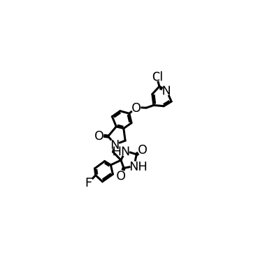 O=C1NC(=O)C(CN2Cc3cc(OCc4ccnc(Cl)c4)ccc3C2=O)(c2ccc(F)cc2)N1